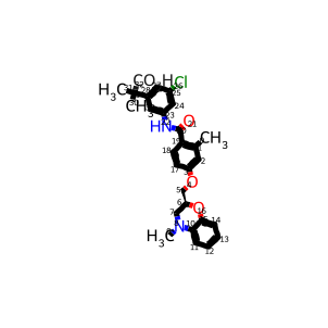 Cc1cc(OC[C@@H]2CN(C)c3ccccc3O2)ccc1C(=O)Nc1cc(Cl)cc(C(C)(C)C(=O)O)c1